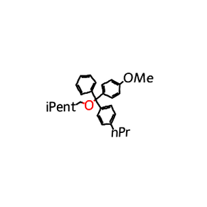 CCCc1ccc(C(OCC(C)CCC)(c2ccccc2)c2ccc(OC)cc2)cc1